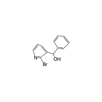 OC(c1ccccc1)c1cccnc1Br